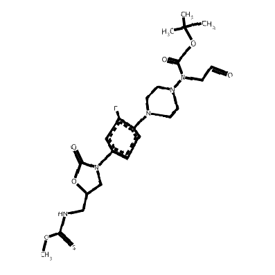 COC(=S)NCC1CN(c2ccc(N3CCN(N(CC=O)C(=O)OC(C)(C)C)CC3)c(F)c2)C(=O)O1